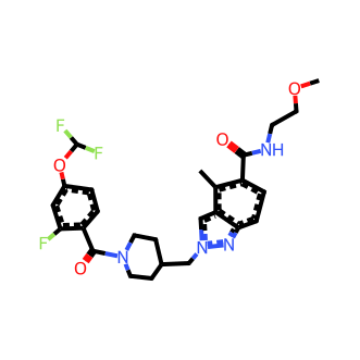 COCCNC(=O)c1ccc2nn(CC3CCN(C(=O)c4ccc(OC(F)F)cc4F)CC3)cc2c1C